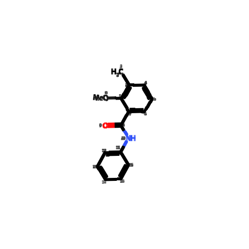 COc1c(C)cccc1C(=O)Nc1ccccc1